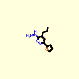 CCCc1cc(-c2cccs2)nnc1NN